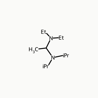 CCN(CC)C(C)N(C(C)C)C(C)C